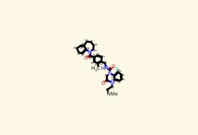 CNCCN1C(=O)CN(C(=O)NCc2ccc(C(=O)N3CCCCC4=CCCC=C43)cc2C)c2c(F)cccc21